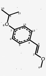 COC=Cc1ccc(OC(C)C)cc1